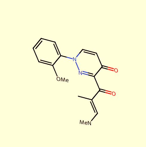 CN/C=C(\C)C(=O)c1nn(-c2ccccc2OC)ccc1=O